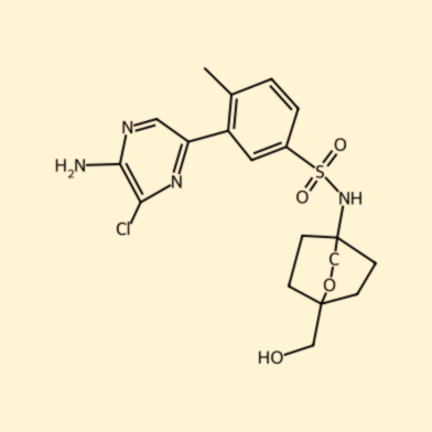 Cc1ccc(S(=O)(=O)NC23CCC(CO)(CC2)OC3)cc1-c1cnc(N)c(Cl)n1